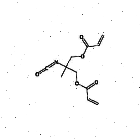 C=CC(=O)OCC(C)(COC(=O)C=C)N=C=O